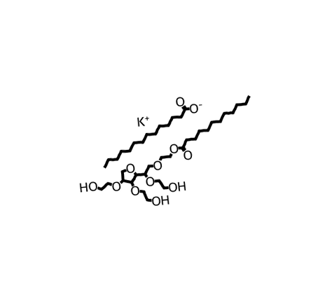 CCCCCCCCCCCC(=O)OCCOCC(OCCO)C1OCC(OCCO)C1OCCO.CCCCCCCCCCCCCC(=O)[O-].[K+]